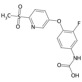 CS(=O)(=O)c1ccc(Oc2ccc(NC(=O)O)cc2F)cn1